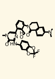 CN(C)c1ccc2c(c1)CCN(c1cccc(-c3cn(C)c(=O)c(Nc4ccc5c(c4)OC(F)(F)O5)n3)c1CO)C2=O